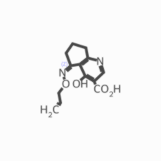 C=CCO/N=C1/CCCc2ncc(C(=O)O)c(O)c21